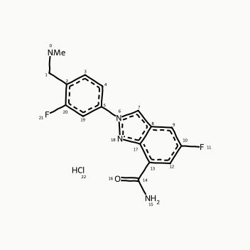 CNCc1ccc(-n2cc3cc(F)cc(C(N)=O)c3n2)cc1F.Cl